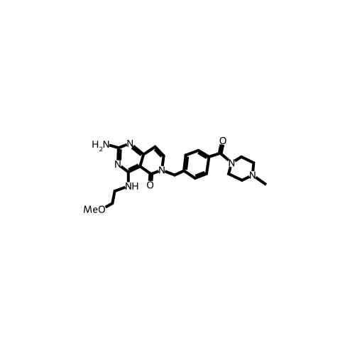 COCCNc1nc(N)nc2ccn(Cc3ccc(C(=O)N4CCN(C)CC4)cc3)c(=O)c12